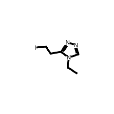 CCn1cnnc1CCI